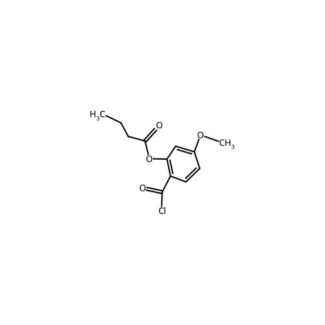 CCCC(=O)Oc1cc(OC)ccc1C(=O)Cl